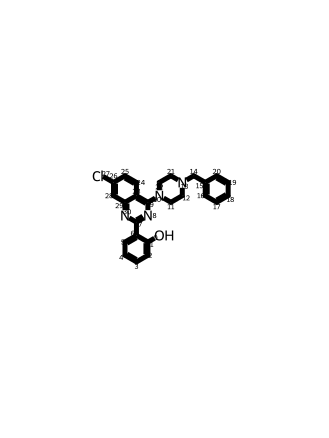 Oc1ccccc1-c1nc(N2CCN(Cc3ccccc3)CC2)c2ccc(Cl)cc2n1